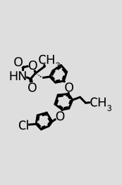 CCCc1cc(Oc2ccc(Cl)cc2)ccc1Oc1cccc(C[C@@]2(CC)OC(=O)NC2=O)c1